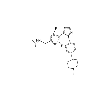 CC(C)NCc1cc(F)c(-c2ccnn2-c2ccc(N3CCN(C)CC3)cc2)c(F)c1